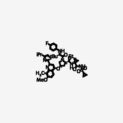 CC[C@@H]1C[C@]1(NC(=O)[C@@H]1C[C@@H](Oc2cc(-c3nc(C(C)C)cs3)nc3c(C)c(OC)ccc23)CN1C(=O)[C@@H](Nc1ccc(F)cc1)C(C)(C)C)C(=O)NS(=O)(=O)C1CC1